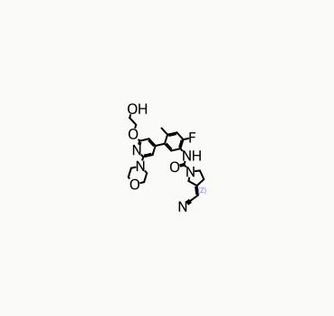 Cc1cc(F)c(NC(=O)N2CC/C(=C/C#N)C2)cc1-c1cc(OCCO)nc(N2CCOCC2)c1